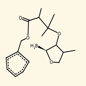 B[C@@H]1OCC(C)C1OC(C)(C)C(C)C(=O)OCc1ccccc1